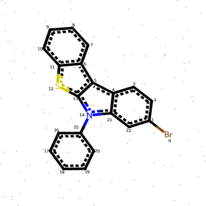 Brc1ccc2c3c4ccccc4sc3n(-c3ccccc3)c2c1